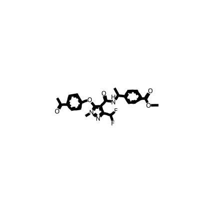 COC(=O)c1ccc(C(C)NC(=O)c2c(C(F)F)nn(C)c2Oc2ccc(C(C)=O)cc2)cc1